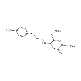 CCCCCCOC(=O)CC(NCCCc1ccc(C)cc1)C(=O)OCCCCCC